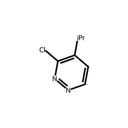 CC(C)c1c[c]nnc1Cl